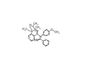 CCC1(C)c2ccccc2C(N(C(=N)c2ccccc2)c2ccc(OC)cc2)=N[C@]1(C)CC